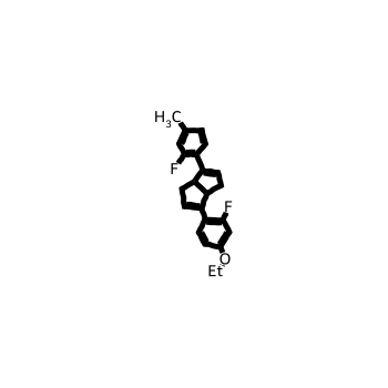 CCOc1ccc(C2=CCC3C(c4ccc(C)cc4F)=CCC23)c(F)c1